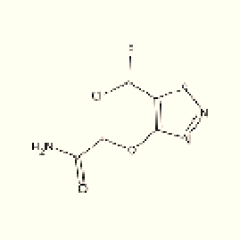 NC(=O)COc1nnsc1C(F)Cl